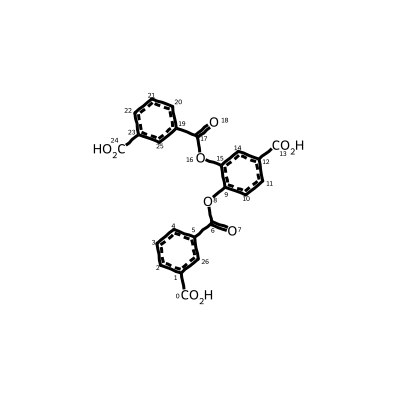 O=C(O)c1cccc(C(=O)Oc2ccc(C(=O)O)cc2OC(=O)c2cccc(C(=O)O)c2)c1